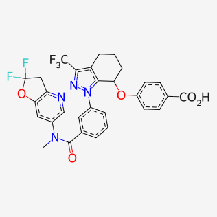 CN(C(=O)c1cccc(-n2nc(C(F)(F)F)c3c2C(Oc2ccc(C(=O)O)cc2)CCC3)c1)c1cnc2c(c1)OC(F)(F)C2